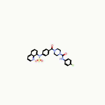 O=C(Nc1ccc(F)cc1)N1CCN(C(=O)c2ccc(N(c3cccc4cccnc34)[SH](=O)=O)cc2)CC1